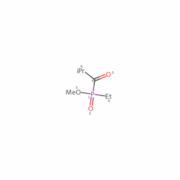 CCP(=O)(OC)C(=O)C(C)C